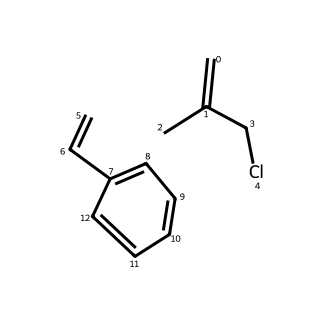 C=C(C)CCl.C=Cc1ccccc1